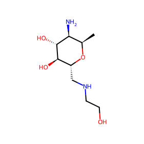 C[C@H]1O[C@H](CNCCO)[C@@H](O)[C@H](O)[C@H]1N